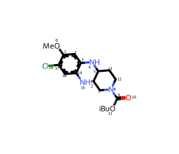 COc1cc(NC2CCN(C(=O)OCC(C)C)CC2)c(N)cc1Cl